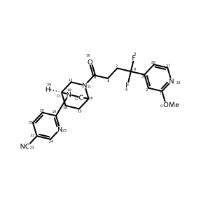 COc1cc(C(F)(F)CCC(=O)N2C[C@@H]3CCC2CN3c2ccc(C#N)cn2)ccn1